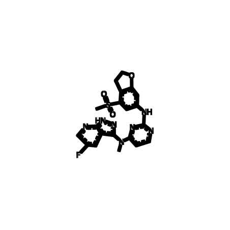 CN(c1ccnc(Nc2cc3c(c(S(C)(=O)=O)c2)CCO3)n1)c1n[nH]c2ncc(F)cc12